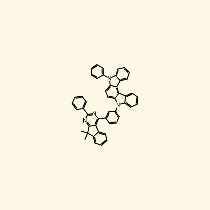 CC1(C)c2ccccc2-c2c(-c3cccc(-n4c5ccccc5c5c6c7ccccc7n(-c7ccccc7)c6ccc54)c3)nc(-c3ccccc3)nc21